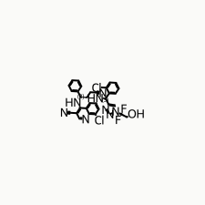 N#CCC[C@@H](Nc1c(C#N)cnc2c(Cl)cc(N[C@H](c3cn(C(F)(F)CO)nn3)c3ccccc3Cl)cc12)c1ccccc1